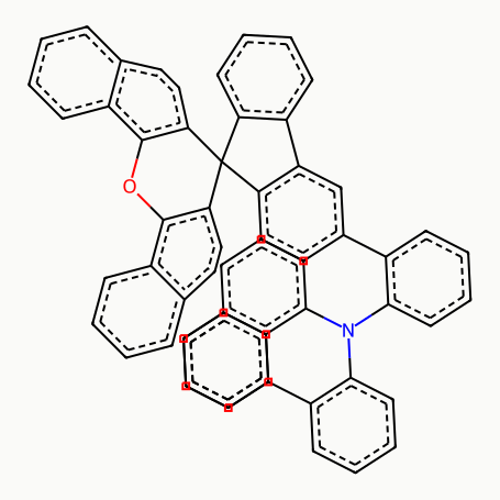 c1ccc(-c2ccccc2N(c2ccccc2-c2ccc3c(c2)-c2ccccc2C32c3ccc4ccccc4c3Oc3c2ccc2ccccc32)c2cccc3ccccc23)cc1